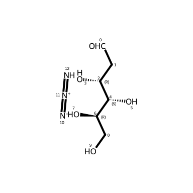 O=CC[C@@H](O)[C@H](O)[C@H](O)CO.[N-]=[N+]=N